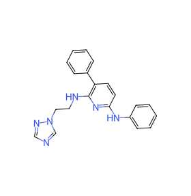 c1ccc(Nc2ccc(-c3ccccc3)c(NCCn3cncn3)n2)cc1